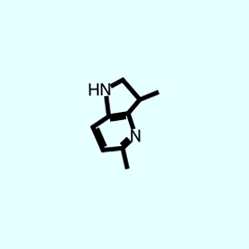 Cc1ccc2c(n1)C(C)CN2